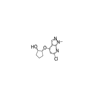 Cn1ncc2c(O[C@H]3CCC[C@H]3O)cc(Cl)nc21